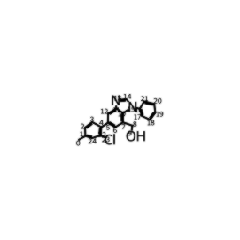 Cc1ccc(-c2cc(CO)c3c(c2)ncn3-c2ccccc2)c(Cl)c1